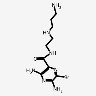 NCCCNCCNC(=O)c1nc(Br)c(N)nc1N